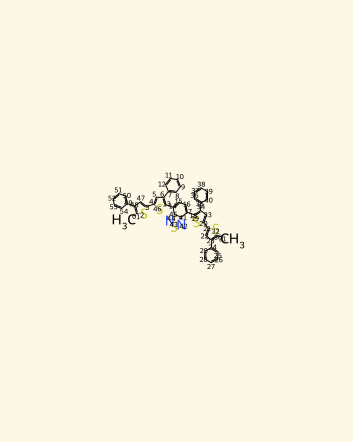 Cc1sc(-c2cc(-c3ccccc3)c(-c3ccc(-c4sc(-c5cc(-c6ccccc6)c(C)s5)cc4-c4ccccc4)c4nsnc34)s2)cc1-c1ccccc1